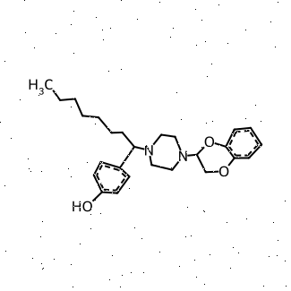 CCCCCCCC(c1ccc(O)cc1)N1CCN(C2COc3ccccc3O2)CC1